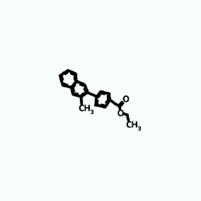 CCOC(=O)c1ccc(-c2cc3ccccc3cc2C)cc1